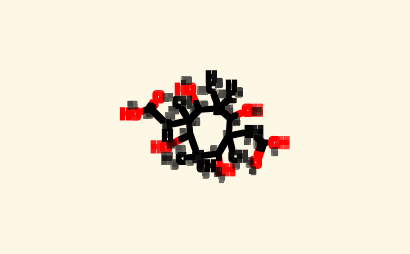 CC1(BC(=O)O)C(O)[Si](C)(C)C(O)C(C)(BC(=O)O)C(O)[Si](C)(C)C1O